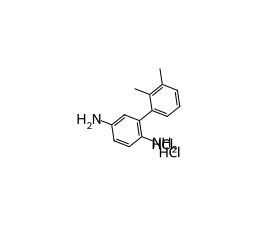 Cc1cccc(-c2cc(N)ccc2N)c1C.Cl.Cl